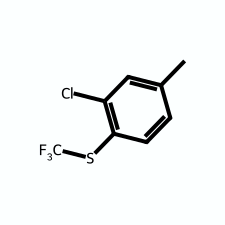 Cc1ccc(SC(F)(F)F)c(Cl)c1